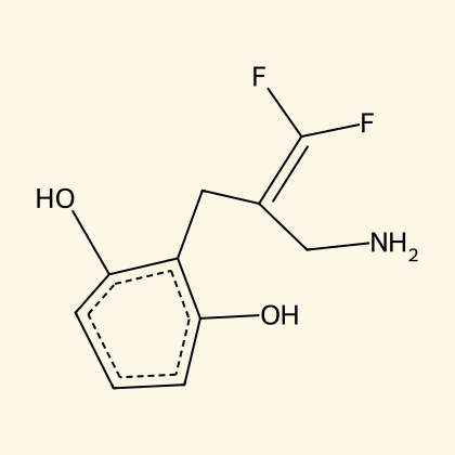 NCC(Cc1c(O)cccc1O)=C(F)F